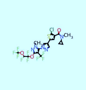 CN(C(=O)c1cc(-c2cnn(-c3c(C(F)(F)F)c(OC(F)(F)C(F)OC(F)(F)F)nn3C)c2)sc1Cl)C1CC1